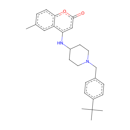 Cc1ccc2oc(=O)cc(NC3CCN(Cc4ccc(C(C)(C)C)cc4)CC3)c2c1